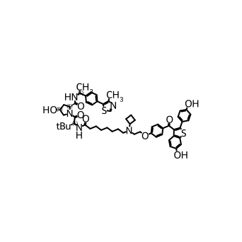 Cc1ncsc1-c1ccc([C@H](C)NC(=O)[C@@H]2C[C@@H](O)CN2C(=O)[C@@H](NC(=O)CCCCCCCN(CCOc2ccc(C(=O)c3c(-c4ccc(O)cc4)sc4cc(O)ccc34)cc2)C2CCC2)C(C)(C)C)cc1